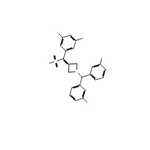 CS(=O)(=O)C(=C1CN(C(c2cccc(F)c2)c2cccc(F)c2)C1)c1cc(F)cc(F)c1